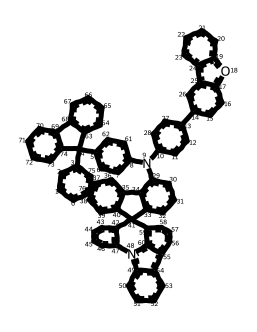 c1ccc(C2(c3ccc(N(c4ccc(-c5ccc6oc7ccccc7c6c5)cc4)c4cccc5c4-c4ccccc4C54c5ccccc5-n5c6ccccc6c6cccc4c65)cc3)c3ccccc3-c3ccccc32)cc1